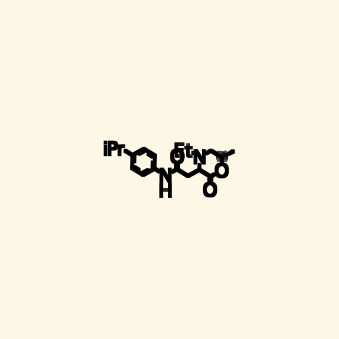 CCN1C[C@@H](C)OC(=O)C1CC(=O)Nc1ccc(C(C)C)cc1